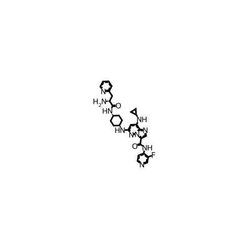 N[C@@H](Cc1ccccn1)C(=O)N[C@H]1CC[C@H](Nc2cc(NC3CC3)c3ncc(C(=O)Nc4ccncc4F)n3n2)CC1